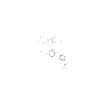 C[C@@H](O)[C@H]1O[C@@H](Oc2cc(CO)ccc2Cc2ccc(OC3CC3)cc2)[C@H](O)[C@@H](O)[C@@H]1O